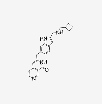 O=c1[nH]c(Cc2ccc3cc(CNCC4CCC4)[nH]c3c2)cc2ccncc12